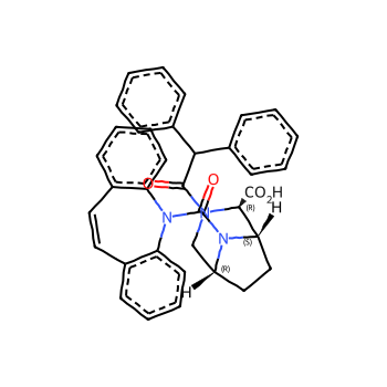 O=C(O)[C@H]1[C@@H]2CC[C@H](CN1C(=O)C(c1ccccc1)c1ccccc1)N2C(=O)N1c2ccccc2C=Cc2ccccc21